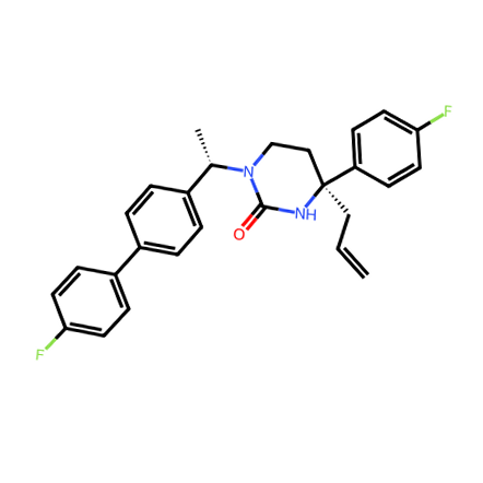 C=CC[C@@]1(c2ccc(F)cc2)CCN([C@@H](C)c2ccc(-c3ccc(F)cc3)cc2)C(=O)N1